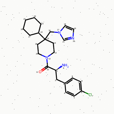 N[C@@H](Cc1ccc(Cl)cc1)C(=O)N1CCC(Cn2ccnc2)(C2CCCCC2)CC1